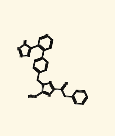 CCCCCc1nc(C(=O)Cc2ccccc2)nn1Cc1ccc(-c2ccncc2-c2nnn[nH]2)cc1